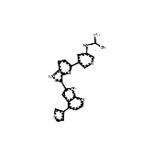 CCCCC(O)Nc1cncc(-c2ccc3[nH]nc(-c4cc5c(-c6ccsc6)ccnc5[nH]4)c3n2)c1